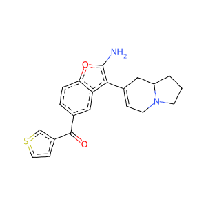 Nc1oc2ccc(C(=O)c3ccsc3)cc2c1C1=CCN2CCCC2C1